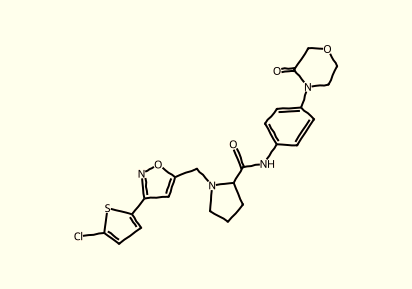 O=C(Nc1ccc(N2CCOCC2=O)cc1)C1CCCN1Cc1cc(-c2ccc(Cl)s2)no1